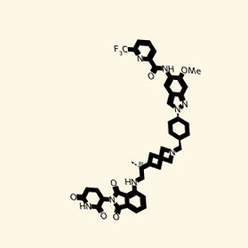 COc1cc2nn([C@H]3CC[C@H](CN4CC5(CC([C@@H](C)CNc6cccc7c6C(=O)N(C6CCC(=O)NC6=O)C7=O)C5)C4)CC3)cc2cc1NC(=O)c1cccc(C(F)(F)F)n1